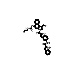 CCCNC(=O)Oc1cc2c(c3ccccc13)C(CCl)CN2C(=O)c1cc2cc(NC(=O)c3cc4ccccc4[nH]3)ccc2[nH]1